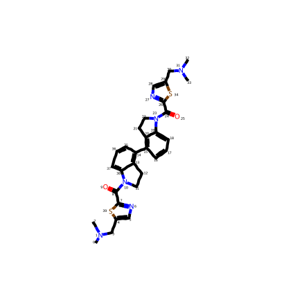 CN(C)Cc1cnc(C(=O)N2CCc3c(-c4cccc5c4CCN5C(=O)c4ncc(CN(C)C)s4)cccc32)s1